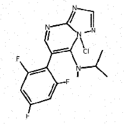 CC(C)N(C)C1=C(c2c(F)cc(F)cc2F)C=NC2=NC=N[N+]21Cl